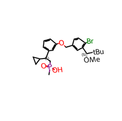 CO[C@H](c1cc(COc2cccc([C@@H](CP(C)(=O)O)C3CC3)c2)ccc1Br)C(C)(C)C